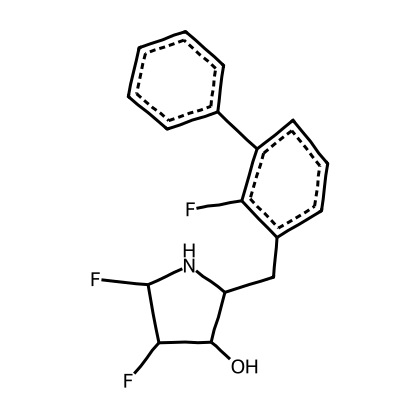 OC1C(Cc2cccc(-c3ccccc3)c2F)NC(F)C1F